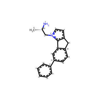 C[C@H](N)Cn1ccc2c1-c1cc(-c3ccccc3)ccc1C2